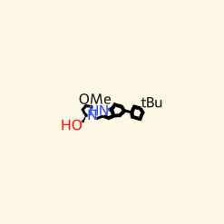 CO[C@@H]1C[C@H](CO)N(Cc2cc3cc(-c4cccc(C(C)(C)C)c4)ccc3[nH]2)C1